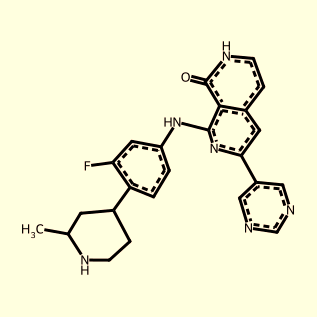 CC1CC(c2ccc(Nc3nc(-c4cncnc4)cc4cc[nH]c(=O)c34)cc2F)CCN1